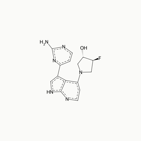 Nc1nccc(-c2c[nH]c3nccc(N4C[C@H](O)[C@@H](F)C4)c23)n1